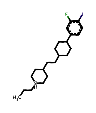 CCC[SiH]1CCC(CCC2CCC(c3ccc(I)c(F)c3)CC2)CC1